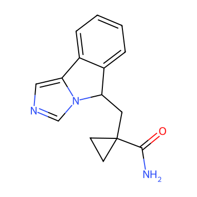 NC(=O)C1(CC2c3ccccc3-c3cncn32)CC1